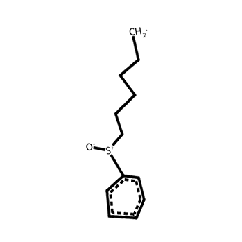 [CH2]CCCCC[S+]([O-])c1ccccc1